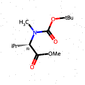 COC(=O)[C@H](C(C)C)N(C)C(=O)OC(C)(C)C